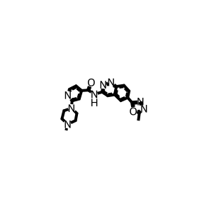 Cc1nnc(-c2ccc3nnc(NC(=O)c4ccnc(N5CCN(C)CC5)c4)cc3c2)o1